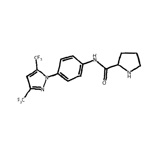 O=C(Nc1ccc(-n2nc(C(F)(F)F)cc2C(F)(F)F)cc1)C1CCCN1